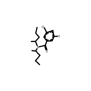 CCCC(C)N(C(=O)c1cc(Cl)cc(Cl)c1)C(C)CCC